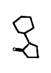 O=C1CCCN1C1CC[CH]CC1